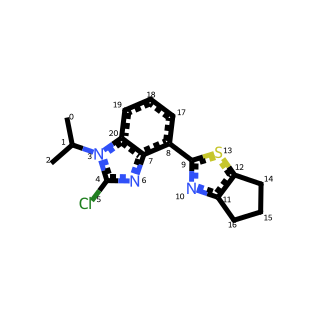 CC(C)n1c(Cl)nc2c(-c3nc4c(s3)CCC4)cccc21